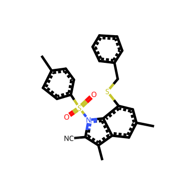 Cc1ccc(S(=O)(=O)n2c(C#N)c(C)c3cc(C)cc(SCc4ccccc4)c32)cc1